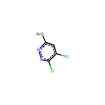 CC(=O)Oc1cc(Cl)c(Cl)nn1